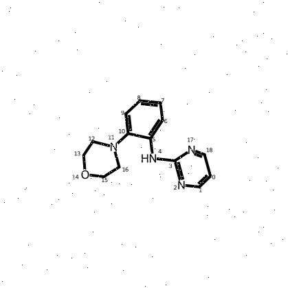 c1cnc(Nc2ccccc2N2CCOCC2)nc1